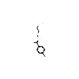 C/C(=N\OCCO)c1ccc(C)cc1